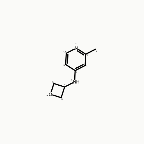 Cc1cc(NC2COC2)ccn1